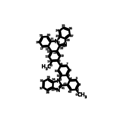 Cc1ccc2c3ccc(-c4cc5c(cc4C)c4ccccc4n4c6ccccc6nc54)cc3n3c4ccccc4nc3c2c1